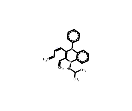 C=C/C=C\C1=C(C=C)N(BC(C)C)c2ccccc2N1c1ccccc1